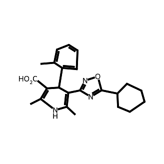 CC1=C(C(=O)O)C(c2ccccc2C)C(c2noc(C3CCCCC3)n2)=C(C)N1